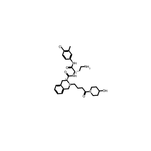 Cc1cc(NC(=O)[C@H](CCN)NC(=O)[C@@H]2Cc3ccccc3CN2CCCC(=O)N2CCC(O)CC2)ccc1Cl